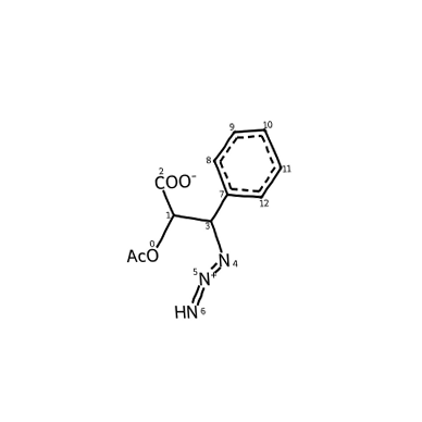 CC(=O)OC(C(=O)[O-])C(N=[N+]=N)c1ccccc1